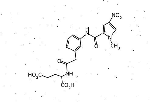 Cn1cc([N+](=O)[O-])cc1C(=O)Nc1cccc(CC(=O)NC(CCC(=O)O)C(=O)O)c1